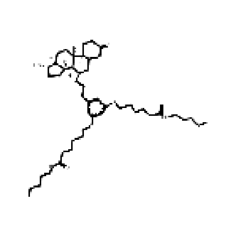 CCCCCNC(=O)CCCCCOc1cc(CCC[C@@H]2CC3CC(=O)CC[C@]3(C)[C@H]3CC[C@]4(C)[C@@H](O)CC[C@H]4[C@H]23)cc(OCCCCCC(=O)NCCCCC)c1